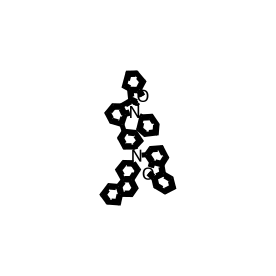 c1ccc(-n2c3oc4ccccc4c3c3cccc(-c4ccc(N(c5ccc6c(ccc7ccccc76)c5)c5cccc6c5oc5ccccc56)cc4)c32)cc1